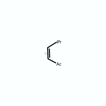 CC(=O)/C=C\C(C)C